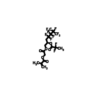 C=C(C)C(=O)OCC(=O)OCC(CC(F)(F)C(F)(F)C(F)(C(F)(F)F)C(F)(F)F)OC(=O)C(C)(F)F